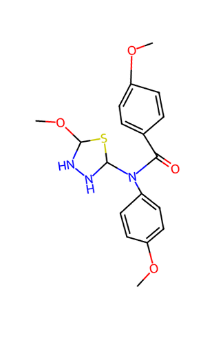 COc1ccc(C(=O)N(c2ccc(OC)cc2)C2NNC(OC)S2)cc1